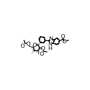 COC(=O)c1ccc2[nH]c(-c3cccc([C@H]4O[C@H](COC(C)=O)[C@@H](C)[C@H](C)[C@@H]4OC(C)=O)c3)nc2c1